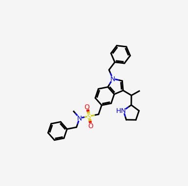 CC(c1cn(Cc2ccccc2)c2ccc(CS(=O)(=O)N(C)Cc3ccccc3)cc12)C1CCCN1